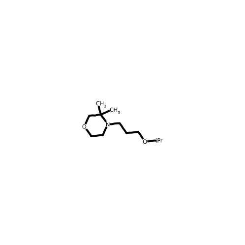 CC(C)OCCCN1CCOCC1(C)C